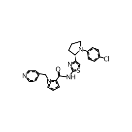 O=C(Nc1nc([C@H]2CCCN2c2ccc(Cl)cc2)cs1)c1cccn1Cc1ccncc1